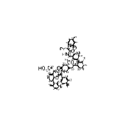 Cc1ccn([C@H](C(=O)N[C@@H](CC(=O)O)c2cncc(-c3c(C)cccc3CCC3CCC(=O)N([C@@H](C(=O)N[C@@H](CC(=O)O)c4cncc(-c5c(C)cccc5C)c4)c4ccc(F)c(F)c4)C3)c2)C(C)C)c(=O)c1